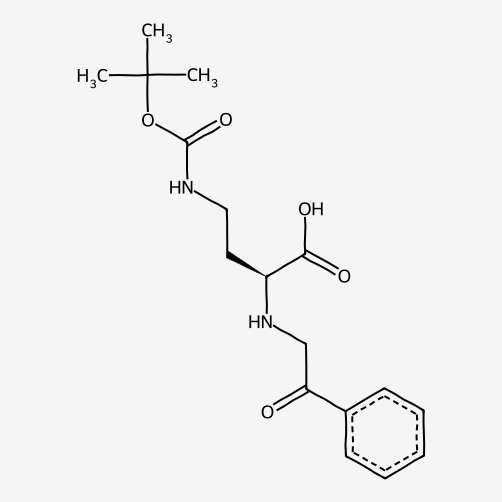 CC(C)(C)OC(=O)NCC[C@H](NCC(=O)c1ccccc1)C(=O)O